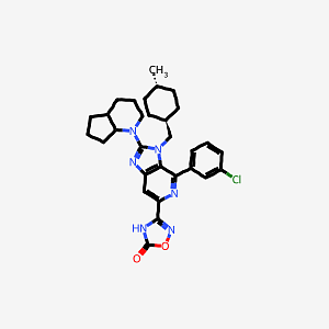 C[C@H]1CC[C@H](Cn2c(N3CCCC4CCCC43)nc3cc(-c4noc(=O)[nH]4)nc(-c4cccc(Cl)c4)c32)CC1